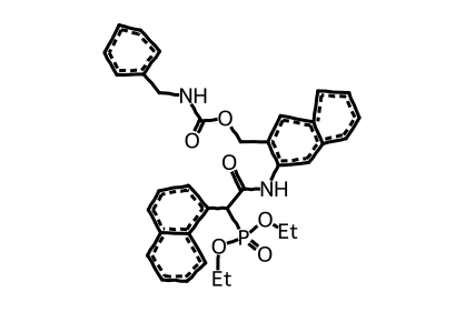 CCOP(=O)(OCC)C(C(=O)Nc1cc2ccccc2cc1COC(=O)NCc1ccccc1)c1cccc2ccccc12